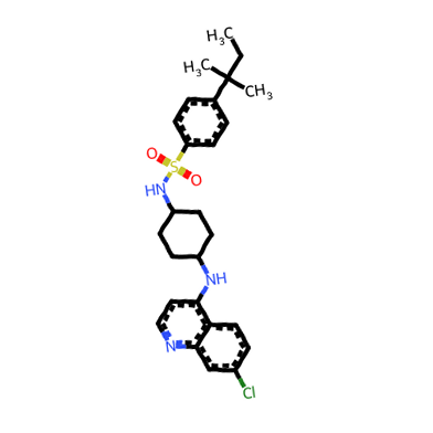 CCC(C)(C)c1ccc(S(=O)(=O)NC2CCC(Nc3ccnc4cc(Cl)ccc34)CC2)cc1